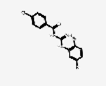 N=C(NC(=O)c1ccc(Cl)cc1)Nc1cc(Br)ccc1Br